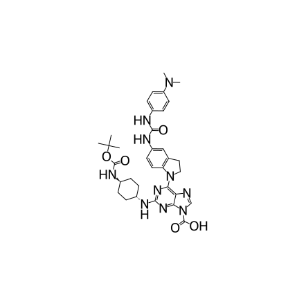 CN(C)c1ccc(NC(=O)Nc2ccc3c(c2)CCN3c2nc(N[C@H]3CC[C@H](NC(=O)OC(C)(C)C)CC3)nc3c2ncn3C(=O)O)cc1